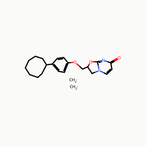 O=c1ccn2c(n1)OC(COc1ccc(C3[CH]CCCCCC3)cc1)C2.[CH2].[CH2]